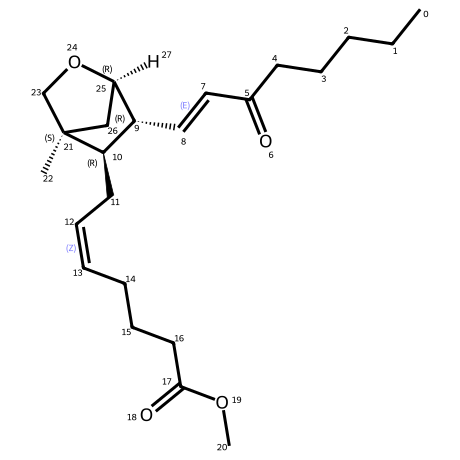 CCCCCC(=O)/C=C/[C@@H]1[C@@H](C/C=C\CCCC(=O)OC)[C@@]2(C)CO[C@@H]1C2